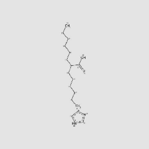 CCCCCCC(CCCCCC)C(=O)O.c1c[nH]cn1